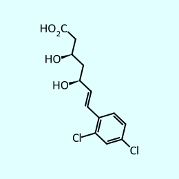 O=C(O)C[C@H](O)C[C@H](O)/C=C/c1ccc(Cl)cc1Cl